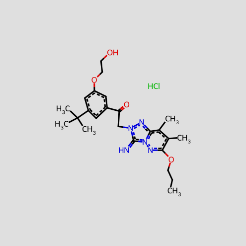 CCCOc1nn2c(=N)n(CC(=O)c3cc(OCCO)cc(C(C)(C)C)c3)nc2c(C)c1C.Cl